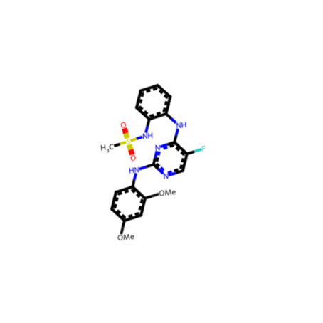 COc1ccc(Nc2ncc(F)c(Nc3ccccc3NS(C)(=O)=O)n2)c(OC)c1